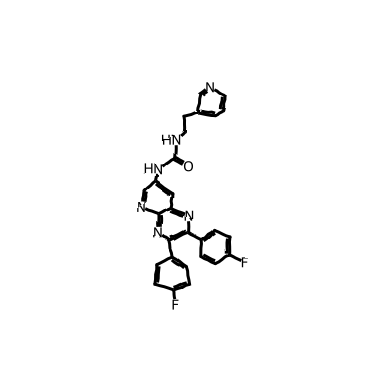 O=C(NCCc1cccnc1)Nc1cnc2nc(-c3ccc(F)cc3)c(-c3ccc(F)cc3)nc2c1